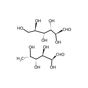 C[C@H](O)[C@@H](O)[C@@H](O)[C@H](O)C=O.O=C[C@@H](O)[C@@H](O)[C@H](O)[C@H](O)CO